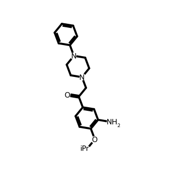 CC(C)Oc1ccc(C(=O)CN2CCN(c3ccccc3)CC2)cc1N